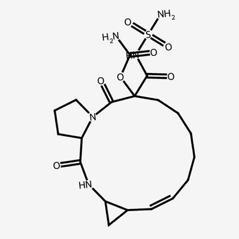 NC(=O)OC1(C(=O)NS(N)(=O)=O)CCCCC/C=C\C2CC2NC(=O)C2CCCN2C1=O